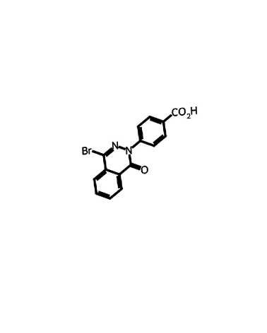 O=C(O)c1ccc(-n2nc(Br)c3ccccc3c2=O)cc1